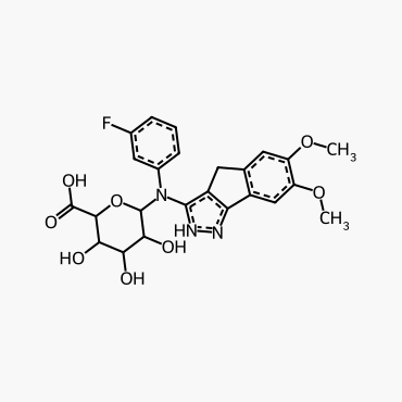 COc1cc2c(cc1OC)-c1n[nH]c(N(c3cccc(F)c3)C3OC(C(=O)O)C(O)C(O)C3O)c1C2